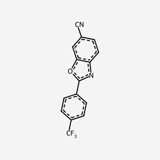 N#Cc1ccc2nc(-c3ccc(C(F)(F)F)cc3)oc2c1